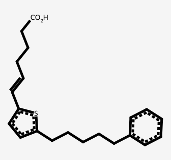 O=C(O)CCCC=Cc1ccc(CCCCCc2ccccc2)s1